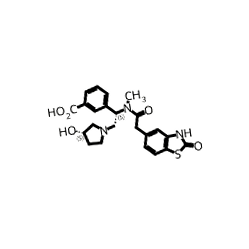 CN(C(=O)Cc1ccc2sc(=O)[nH]c2c1)[C@H](CN1CC[C@H](O)C1)c1cccc(C(=O)O)c1